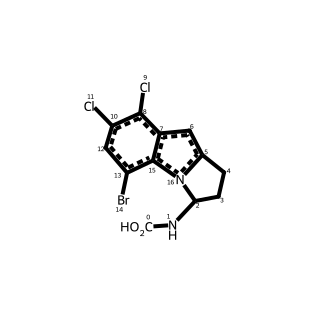 O=C(O)NC1CCc2cc3c(Cl)c(Cl)cc(Br)c3n21